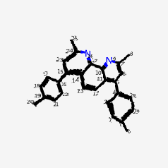 Cc1ccc(-c2cc(C)nc3c2ccc2c(-c4ccc(C)cc4)cc(C)nc23)cc1